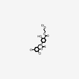 CCOCCOC(=O)c1ccc(N2Cc3cc(Cl)cc(Cl)c3OC2=S)cc1O